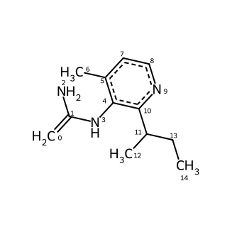 C=C(N)Nc1c(C)ccnc1C(C)CC